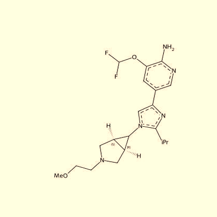 COCCN1C[C@@H]2C(n3cc(-c4cnc(N)c(OC(F)F)c4)nc3C(C)C)[C@@H]2C1